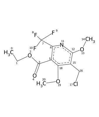 CCOC(=O)c1c(C(F)(F)F)nc(OC)c(CCl)c1OC